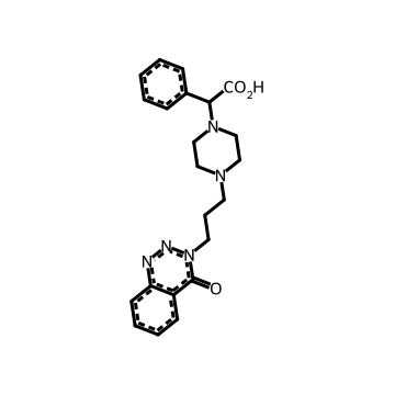 O=C(O)C(c1ccccc1)N1CCN(CCCn2nnc3ccccc3c2=O)CC1